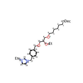 CCCCCCCCCCCCCCCCOCC(COCc1ccc(Cn2cc[n+](CC)c2)cc1)OCC